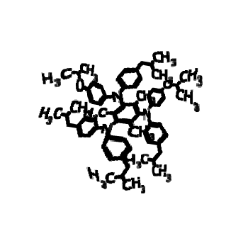 Cc1c(N(c2ccc(CC(C)C)cc2)c2ccc(CC(C)C)cc2)c(C)c(N(c2ccc(CC(C)C)cc2)c2ccc(OC(C)C)cc2)c(C)c1N(c1ccc(CC(C)C)cc1)c1ccc(OC(C)C)cc1